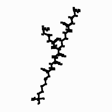 CC(C)C(C)(C)CCCCOCC(=O)NCC(=O)NC(=O)C(CCCCNC(=O)COCC(=O)O)NC(=O)COCC(=O)O